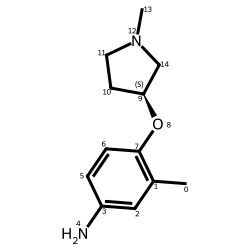 Cc1cc(N)ccc1O[C@H]1CCN(C)C1